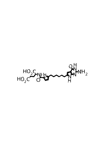 Nc1nc2[nH]c(CCCCCCc3ccc(C(=O)N[C@@H](CCC(=O)O)C(=O)O)s3)cc2c(=O)[nH]1